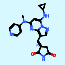 CN(c1ccncc1)c1cc(NC2CC2)n2ncc(/C=C3\CC(=O)NC3=O)c2n1